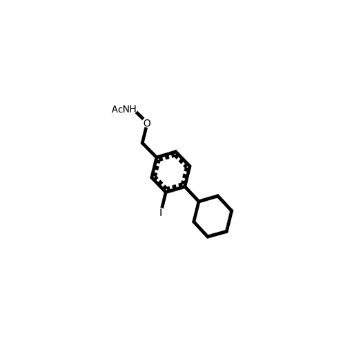 CC(=O)NOCc1ccc(C2CCCCC2)c(I)c1